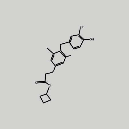 Cc1cc(OCC(=O)OC2CCC2)cc(C)c1Cc1ccc(O)c(C(C)C)c1